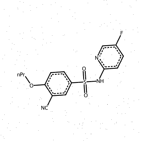 CCCOc1ccc(S(=O)(=O)Nc2ccc(F)cn2)cc1C#N